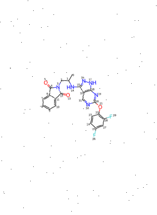 CC(CN1C(=O)c2ccccc2C1=O)Nc1n[nH]c2nc(Oc3ccc(F)cc3F)ncc12